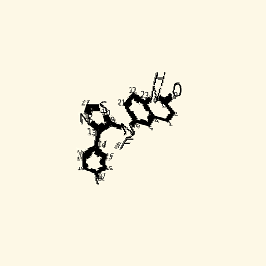 O=C1CCc2cc(N(F)c3scnc3-c3ccc(F)cc3)ccc2N1